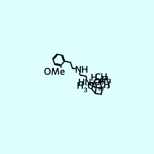 COc1ccccc1CCNCCN[C@@H]1CC2C[C@H]([C@H]1C)C2(C)C